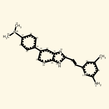 Cc1cc(N)nc(C=Cc2nc3cc(-c4ccc(N(C)C)cc4)cnc3[nH]2)c1